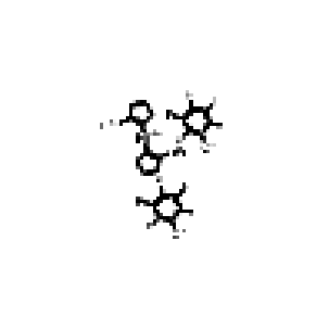 CCCC1=[C]([Hf+2][C]2=C(CCC)C=CC2)CC=C1.[O-]c1c(F)c(F)c(F)c(F)c1F.[O-]c1c(F)c(F)c(F)c(F)c1F